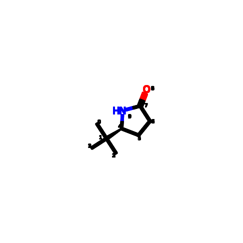 CC(C)(C)[C@@H]1CCC(=O)N1